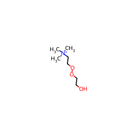 C[N+](C)(C)CCOOCCO